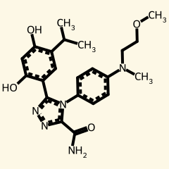 COCCN(C)c1ccc(-n2c(C(N)=O)nnc2-c2cc(C(C)C)c(O)cc2O)cc1